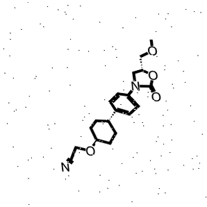 COC[C@H]1CN(c2ccc([C@H]3CC[C@H](OCC#N)CC3)cc2)C(=O)O1